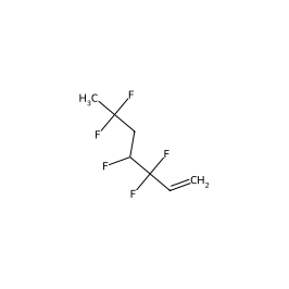 C=CC(F)(F)C(F)CC(C)(F)F